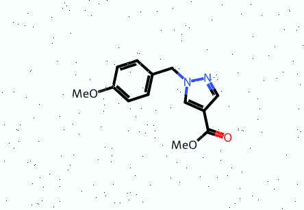 COC(=O)c1cnn(Cc2ccc(OC)cc2)c1